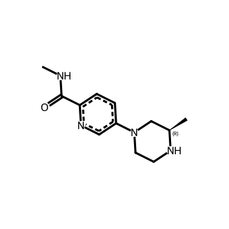 CNC(=O)c1ccc(N2CCN[C@H](C)C2)cn1